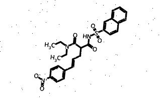 CCN(CC)C(=O)C(C/C=C/c1ccc([N+](=O)[O-])cc1)C(=O)NS(=O)(=O)c1ccc2ccccc2c1